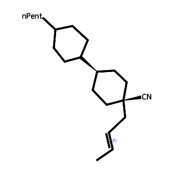 C/C=C/C[C@]1(C#N)CC[C@@H](C2CCC(CCCCC)CC2)CC1